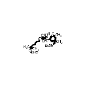 CNCC1(C)CC(NC(=O)C(C)(C)OCCCCC(C)(C)OC=O)CC(C)(C)C1